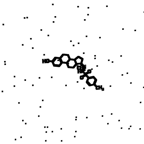 Cc1ccc(S(=O)(=O)N/N=C2/CCC3C4CCc5cc(O)ccc5C4CC[C@]23C)cc1